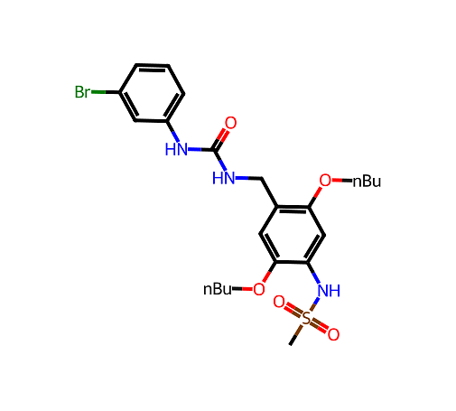 CCCCOc1cc(NS(C)(=O)=O)c(OCCCC)cc1CNC(=O)Nc1cccc(Br)c1